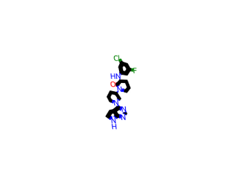 O=C1[C@H](Nc2cc(F)cc(Cl)c2)CCCN1[C@@H]1CCCN(c2ncnc3[nH]ccc23)C1